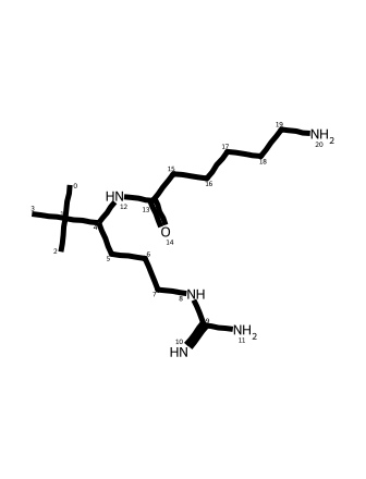 CC(C)(C)C(CCCNC(=N)N)NC(=O)CCCCCN